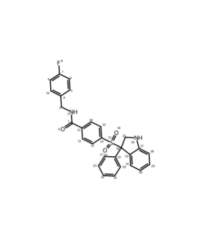 O=C(NCc1ccc(F)cc1)c1ccc(S(=O)(=O)C2(c3ccccc3)CNc3ccccc32)cc1